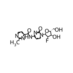 Cc1nccc(C(=O)Nc2ccn([C@H]3O[C@H](CO)[C@@H](O)[C@H]3F)c(=O)n2)n1